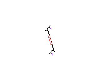 CC(I)CC(C)CCCOCOCOCCCC(C)CC(C)I